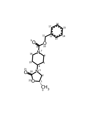 C[C@H]1CN(C2CCN(C(=O)OCc3ccccc3)CC2)C(=O)O1